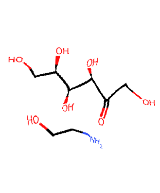 NCCO.O=C(CO)[C@H](O)[C@@H](O)[C@H](O)CO